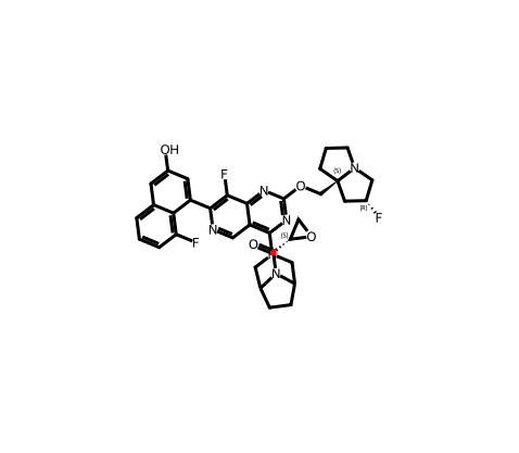 O=C([C@@H]1CO1)N1C2CCC1CN(c1nc(OC[C@@]34CCCN3C[C@H](F)C4)nc3c(F)c(-c4cc(O)cc5cccc(F)c45)ncc13)C2